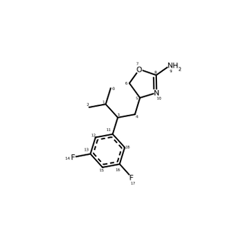 CC(C)C(CC1COC(N)=N1)c1cc(F)cc(F)c1